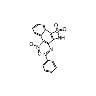 O=[N+]([O-])c1c(N=Nc2ccccc2)c2c(c3ccccc13)S(=O)(=O)N2